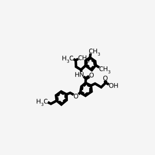 CCc1ccc(COc2ccc(CCC(=O)O)c(C(=O)NC(CC(C)C)c3cc(C)cc(C)c3)c2)cc1